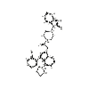 O=C(Cn1cc(-c2ccccc2F)c2c(N3CCCC3)ncnc21)N1CCC(n2c(=O)[nH]c3ncccc32)CC1